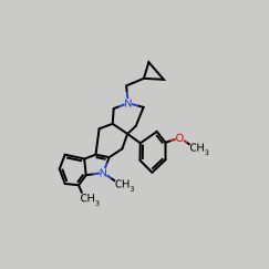 COc1cccc(C23CCN(CC4CC4)CC2Cc2c(n(C)c4c(C)cccc24)C3)c1